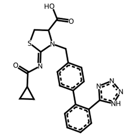 O=C(N=C1SCC(C(=O)O)N1Cc1ccc(-c2ccccc2-c2nnn[nH]2)cc1)C1CC1